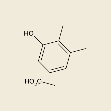 CC(=O)O.Cc1cccc(O)c1C